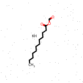 CCCCCCCCCCCC(=O)OC=O.[KH]